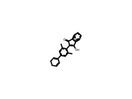 Cc1cc(C2=CCCC=C2)cc(C)c1C1=C(O)c2c(c3ccc2o3)C1=O